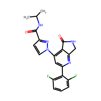 CC(C)NC(=O)c1ccn(-c2cc(-c3c(F)cccc3F)nc3c2C(=O)NC3)n1